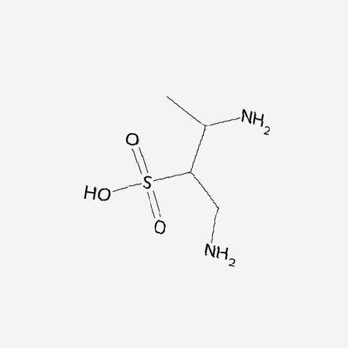 CC(N)C(CN)S(=O)(=O)O